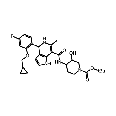 CC1=C(C(=O)NC2CCN(C(=O)OC(C)(C)C)CC2O)c2[nH]ccc2C(c2ccc(F)cc2OCC2CC2)N1